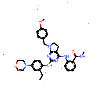 CCc1cc(N2CCOCC2)ccc1Nc1nc(Nc2ccccc2C(=O)NC)c2c(n1)N(Cc1ccc(OC)cc1)CC2